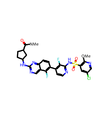 CNC(=O)C1CCC(Nc2ncc3c(F)c(-c4ccnc(NS(=O)(=O)c5cc(Cl)cnc5OC)c4F)ccc3n2)C1